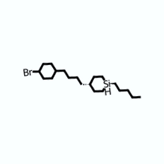 CCCCC[Si@H]1CC[C@H](CCCCC2CCC(Br)CC2)CC1